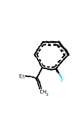 C=C(CC)c1ccccc1F